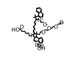 COCCOCCOCCOCCC1(C)\C(=C/C=C/C=C/C2=[N+](CCOC)c3ccc4ccccc4c3C2(C)C)N(CCCCCC(=O)O)c2ccc3c(S(=O)(=O)O)cccc3c21